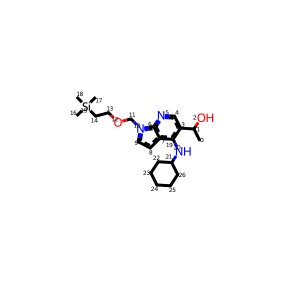 CC(O)c1cnc2c(ccn2COCC[Si](C)(C)C)c1NC1CCCCC1